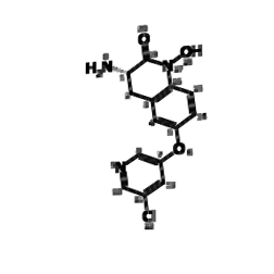 N[C@H]1Cc2cc(Oc3cncc(Cl)c3)ccc2N(O)C1=O